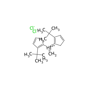 [CH2]=[Hf+2]([C]1=C(C(C)(C)C)C=CC1)[C]1=C(C(C)(C)C)C=CC1.[Cl-].[Cl-]